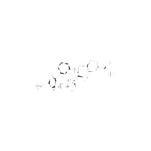 O=C(C1CC2(F)CC1C2)N(CC12CCC(C(=O)O)(CC1)CC2)c1cccc(-c2nnc(C3CC3)o2)c1